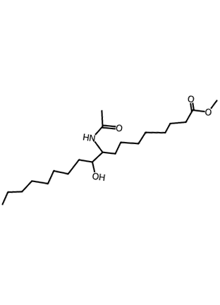 CCCCCCCCC(O)C(CCCCCCCC(=O)OC)NC(C)=O